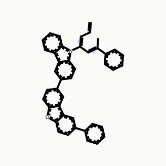 C=C/C=C(\C=C(/C)c1ccccc1)n1c2ccccc2c2cc(-c3ccc4oc5ccc(-c6ccccc6)cc5c4c3)ccc21